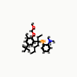 CCCCC(CC)(Pc1ccccc1N(C)C)c1cc(C(C)(C)C)cc(C)c1OCOC